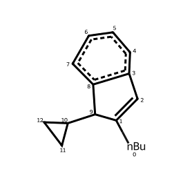 CCCCC1=Cc2ccccc2C1C1CC1